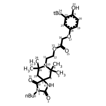 CCCCN1C(=O)NC2(CC(C)(C)N(CCOC(=O)COc3ccc(O)c(C(C)(C)C)c3)C(C)(C)C2)C1=O